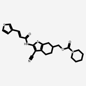 N#Cc1c(NC(=O)C=Cc2ccsc2)sc2c1CCC(COC(=O)N1CCCCC1)C2